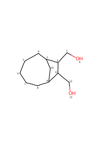 OCC1C2CCCCCC(C2)C1CO